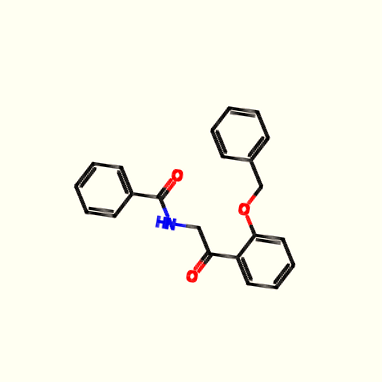 O=C(NCC(=O)c1ccccc1OCc1ccccc1)c1ccccc1